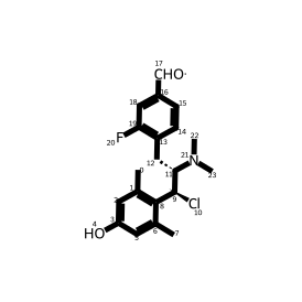 Cc1cc(O)cc(C)c1[C@H](Cl)[C@H](Cc1ccc([C]=O)cc1F)N(C)C